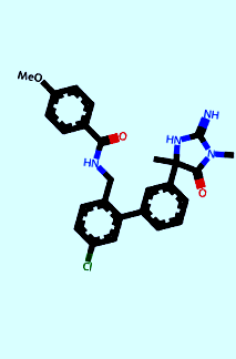 COc1ccc(C(=O)NCc2ccc(Cl)cc2-c2cccc(C3(C)NC(=N)N(C)C3=O)c2)cc1